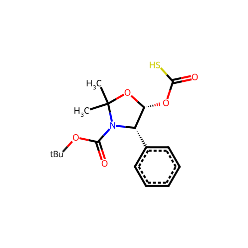 CC(C)(C)OC(=O)N1[C@@H](c2ccccc2)[C@@H](OC(=O)S)OC1(C)C